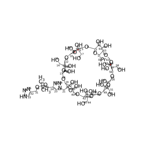 CC(C)C1OC2OC3C(CO)OC(OC4C(CO)OC(OC5C(Cn6cc(COC(C)(C)OCc7c[nH]nn7)nn6)OC(OC6C(CO)OC(OC7C(CO)OC(OC8C(CO)OC(OC1C(O)C2O)C(O)C8O)C(O)C7O)C(O)C6O)C(O)C5O)C(O)C4O)C(O)C3O